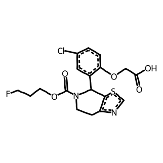 O=C(O)COc1ccc(Cl)cc1C1c2scnc2CCN1C(=O)OCCCF